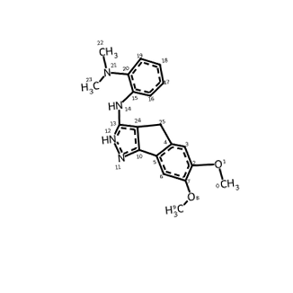 COc1cc2c(cc1OC)-c1n[nH]c(Nc3ccccc3N(C)C)c1C2